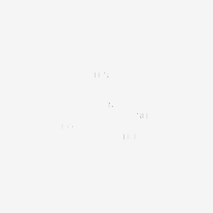 CC(N)N(CC(=O)O)C(C)N.Cl